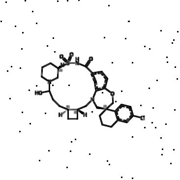 O=C1NS(=O)(=O)[C@H]2CCCN(C2)C(O)CC[C@@H]2CC[C@H]2CN2C[C@@]3(CCCc4cc(Cl)ccc43)COc3ccc1cc32